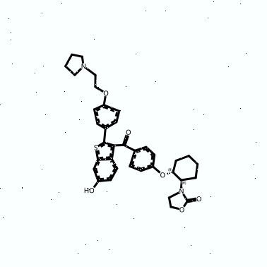 O=C(c1ccc(O[C@@H]2CCCC[C@H]2N2CCOC2=O)cc1)c1c(-c2ccc(OCCN3CCCC3)cc2)sc2cc(O)ccc12